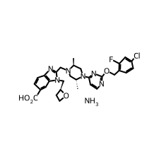 C[C@@H]1CN(Cc2nc3ccc(C(=O)O)cc3n2C[C@@H]2CCO2)[C@@H](C)CN1c1ccnc(OCc2ccc(Cl)cc2F)n1.N